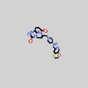 O=C1CNc2ccc(=O)n3c2N1CCC3CN1CCC(NCc2cc3c(cn2)OCCS3)CC1